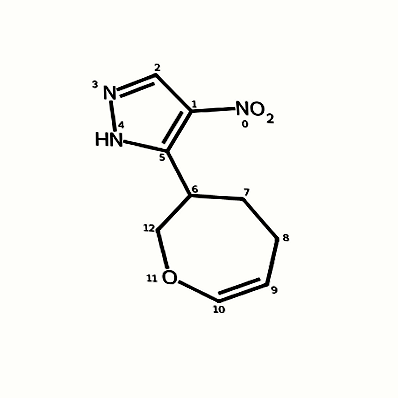 O=[N+]([O-])c1cn[nH]c1C1CCC=COC1